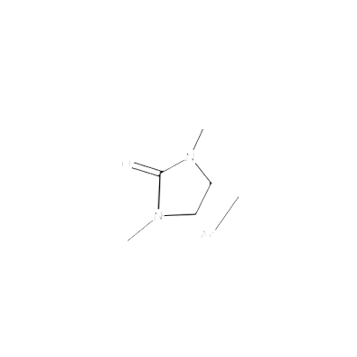 CC(C)=O.CN1CCN(C)C1=O